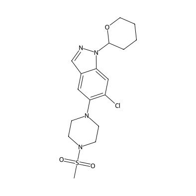 CS(=O)(=O)N1CCN(c2cc3cnn(C4CCCCO4)c3cc2Cl)CC1